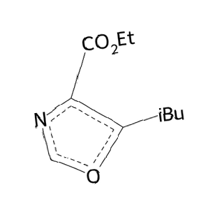 CCOC(=O)c1ncoc1C(C)CC